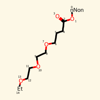 CCCCCCCCCOC(=O)CCCOCCOCCOCC